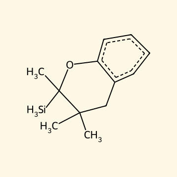 CC1(C)Cc2ccccc2OC1(C)[SiH3]